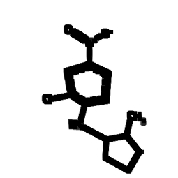 CC1[CH]CCC1Nc1ccc([N+](=O)[O-])cc1Cl